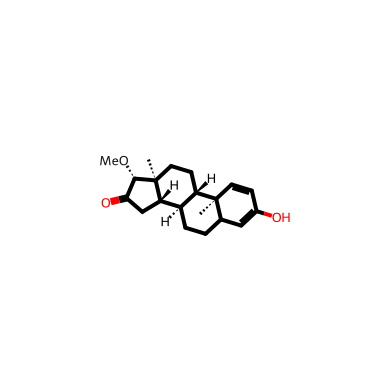 CO[C@H]1C(=O)C[C@H]2[C@@H]3CCC4C=C(O)C=C[C@]4(C)[C@H]3CC[C@]12C